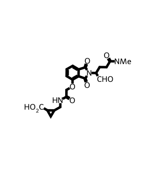 CNC(=O)CCC(C=O)N1C(=O)c2cccc(OCC(=O)NCC3CC3C(=O)O)c2C1=O